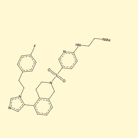 CNCCNc1ccc(S(=O)(=O)N2CCc3c(cccc3-c3cncn3CCc3ccc(F)cc3)C2)cn1